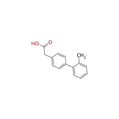 [CH2]c1ccccc1-c1ccc(CC(=O)O)cc1